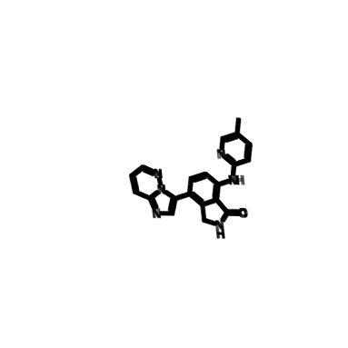 Cc1ccc(Nc2ccc(-c3cnc4cccnn34)c3c2C(=O)NC3)nc1